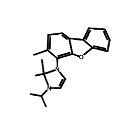 Cc1ccc2c(oc3ccccc32)c1N1C=CN(C(C)C)C1(C)C